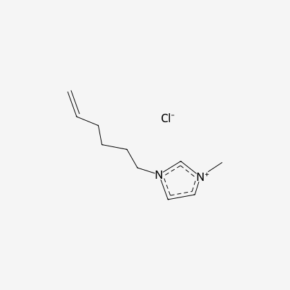 C=CCCCCn1cc[n+](C)c1.[Cl-]